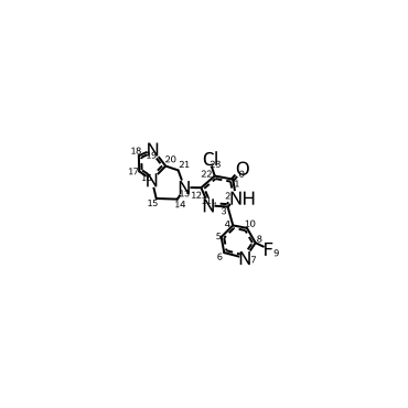 O=c1[nH]c(-c2ccnc(F)c2)nc(N2CCn3ccnc3C2)c1Cl